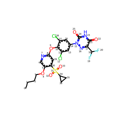 CCCCOc1cnc(Oc2c(Cl)cc(-n3nc(C(F)F)c(=O)[nH]c3=O)cc2Cl)cc1S(=O)(=O)C1CC1